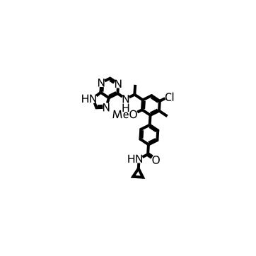 COc1c(C(C)Nc2ncnc3[nH]cnc23)cc(Cl)c(C)c1-c1ccc(C(=O)NC2CC2)cc1